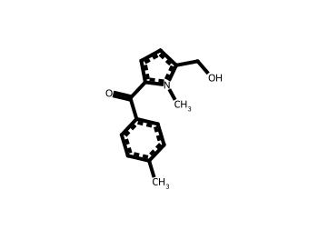 Cc1ccc(C(=O)c2ccc(CO)n2C)cc1